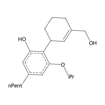 CCCCCc1cc(O)c(C2C=C(CO)CCC2)c(OC(C)C)c1